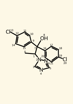 CC(n1cncn1)C(O)(c1ccc(Cl)cc1)c1ccc(Cl)cc1